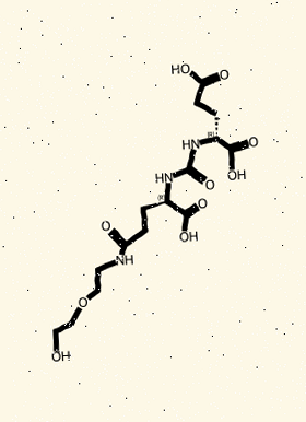 O=C(O)CC[C@@H](NC(=O)N[C@H](CCC(=O)NCCOCCO)C(=O)O)C(=O)O